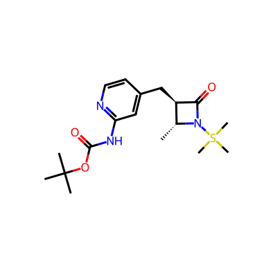 C[C@@H]1[C@@H](Cc2ccnc(NC(=O)OC(C)(C)C)c2)C(=O)N1S(C)(C)C